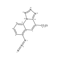 CCOC(=O)c1cc2c(N=[N+]=[N-])cccc2n2nnnc12